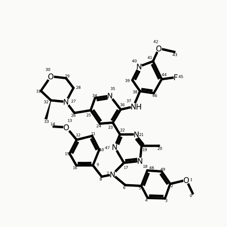 COc1ccc(CN(Cc2ccc(OC)cc2)c2nc(C)nc(-c3cc(CN4CCOC[C@@H]4C)cnc3Nc3cnc(OC)c(F)c3)n2)cc1